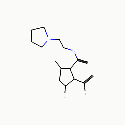 C=C(NCCN1CCCC1)C1C(C)CC(CC)C1C(=C)C(C)C